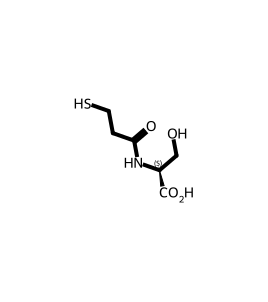 O=C(CCS)N[C@@H](CO)C(=O)O